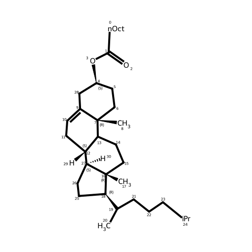 CCCCCCCCC(=O)O[C@H]1CC[C@@]2(C)C(=CC[C@@H]3C2CC[C@]2(C)[C@@H](C(C)CCCC(C)C)CC[C@@H]32)C1